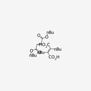 CCCC/C(C(=O)O)=C(/CCCC)C(=O)O.CCCCOC(=O)/C=C/C(=O)OCCCC